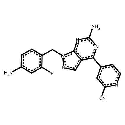 N#Cc1cc(-c2nc(N)nc3c2cnn3Cc2ccc(N)cc2F)ccn1